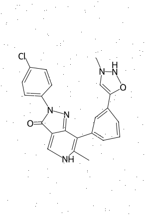 Cc1[nH]cc2c(=O)n(-c3ccc(Cl)cc3)nc-2c1-c1cccc(C2=CN(C)NO2)c1